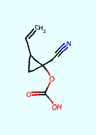 C=CC1CC1(C#N)OC(=O)O